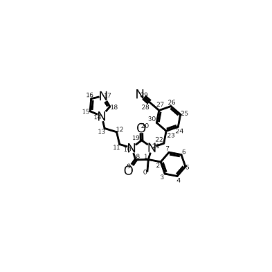 CC1(c2ccccc2)C(=O)N(CCCn2ccnc2)C(=O)N1Cc1cccc(C#N)c1